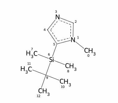 Cn1cncc1[Si](C)(C)C(C)(C)C